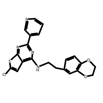 Clc1cc2c(NCCc3ccc4c(c3)OCCO4)nc(-c3cccnc3)nc2s1